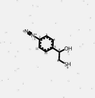 N#[N+]c1ccc(C(O)CS)cc1